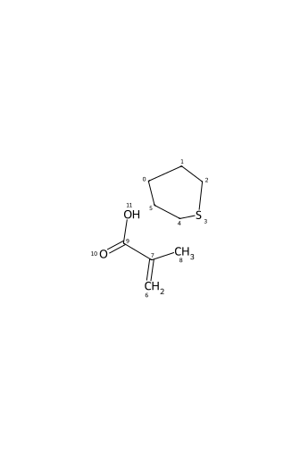 C1CCSCC1.C=C(C)C(=O)O